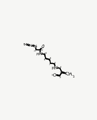 C=C(C=O)CNCCCCCNC(=O)CN=[N+]=[N-]